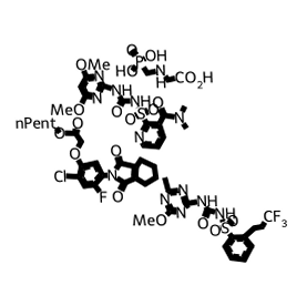 CCCCCOC(=O)COc1cc(N2C(=O)C3=C(CCCC3)C2=O)c(F)cc1Cl.COc1cc(OC)nc(NC(=O)NS(=O)(=O)c2ncccc2C(=O)N(C)C)n1.COc1nc(C)nc(NC(=O)NS(=O)(=O)c2ccccc2CCC(F)(F)F)n1.O=C(O)CNCP(=O)(O)O